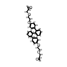 c1ccc(-c2ccccc2-c2ccc(OCCOCC3CO3)cc2)c(-c2ccc(OCCOCC3CO3)cc2)c1